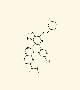 C=C(C1COc2ccc(-c3c(-c4ccc(C#N)cc4)nc(OC[C@@H]4CCCN(C)C4)n4ccnc34)cc2O1)N(C)C